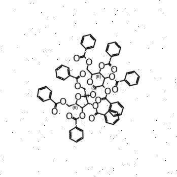 O=C(OCC1O[C@@H](O[C@@]2(COC(=O)c3ccccc3)O[C@H](COC(=O)c3ccccc3)C(OC(=O)c3ccccc3)C2OC(=O)c2ccccc2)C(OC(=O)c2ccccc2)C(OC(=O)c2ccccc2)[C@@H]1OC(=O)c1ccccc1)c1ccccc1